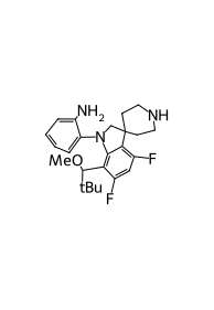 COC(c1c(F)cc(F)c2c1N(c1ccccc1N)CC21CCNCC1)C(C)(C)C